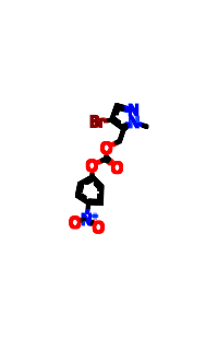 Cn1ncc(Br)c1COC(=O)Oc1ccc([N+](=O)[O-])cc1